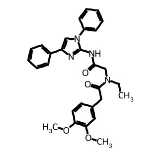 CCN(CC(=O)Nc1nc(-c2ccccc2)cn1-c1ccccc1)C(=O)Cc1ccc(OC)c(OC)c1